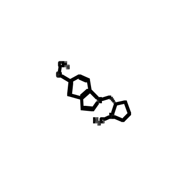 COc1ccc2c(ccn2C[C@@H]2CCCN2C)c1